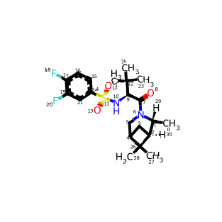 C[C@@H]1[C@@H]2CC(CN1C(=O)[C@@H](NS(=O)(=O)c1ccc(F)c(F)c1)C(C)(C)C)C2(C)C